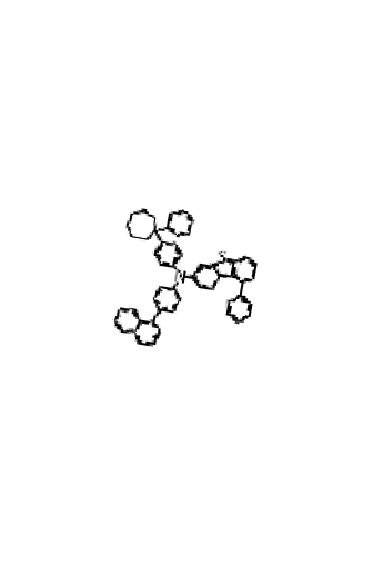 c1ccc(-c2cccc3sc4cc(N(c5ccc(-c6cccc7ccccc67)cc5)c5ccc(C6(c7ccccc7)CCCCCC6)cc5)ccc4c23)cc1